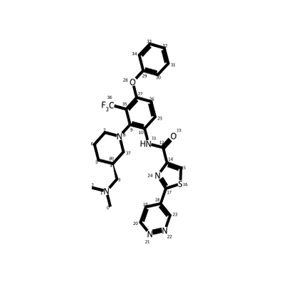 CN(C)C[C@H]1CCCN(c2c(NC(=O)c3csc(-c4ccnnc4)n3)ccc(Oc3ccccc3)c2C(F)(F)F)C1